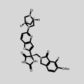 CCN1C[C@@H]2C[C@H]1CN2c1ccc2oc([C@]3(CN4Cc5ccc(OC)c(F)c5C4=O)NC(=O)NC3=O)cc2n1